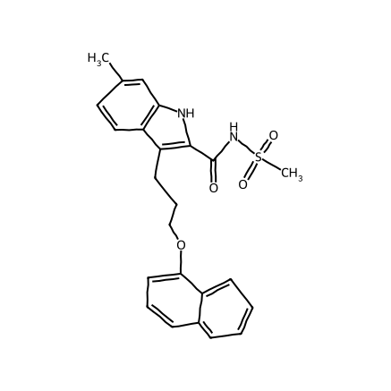 Cc1ccc2c(CCCOc3cccc4ccccc34)c(C(=O)NS(C)(=O)=O)[nH]c2c1